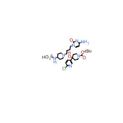 CC(C)(C)OC(=O)N1CCC(O)(c2ccc(Cl)nc2)CC1.Nc1ccn(CCCCN2CCC(NC(=O)O)CC2)c(=O)n1